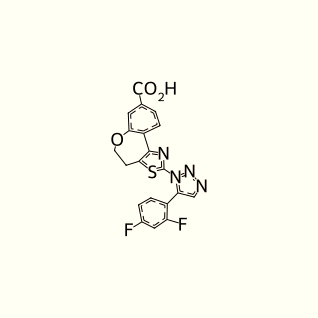 O=C(O)c1ccc2c(c1)OCCc1sc(-n3nncc3-c3ccc(F)cc3F)nc1-2